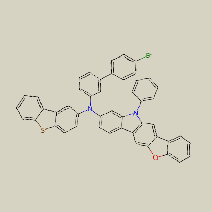 Brc1ccc(-c2cccc(N(c3ccc4sc5ccccc5c4c3)c3ccc4c5cc6oc7ccccc7c6cc5n(-c5ccccc5)c4c3)c2)cc1